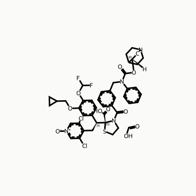 O=C(O[C@H]1CN2CCC1CC2)N(Cc1cccc(C(=O)N2CCS[C@]2(C(=O)O)[C@@H](Cc2c(Cl)c[n+]([O-])cc2Cl)c2ccc(OC(F)F)c(OCC3CC3)c2)c1)c1ccccc1.O=CO